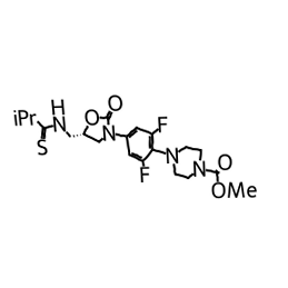 COC(=O)N1CCN(c2c(F)cc(N3C[C@H](CNC(=S)C(C)C)OC3=O)cc2F)CC1